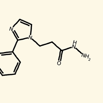 NNC(=O)CCn1ccnc1-c1ccccc1